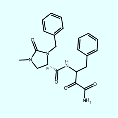 CN1C[C@@H](C(=O)NC(Cc2ccccc2)C(=O)C(N)=O)N(Cc2ccccc2)C1=O